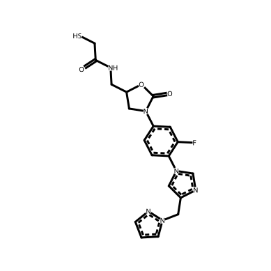 O=C(CS)NCC1CN(c2ccc(-n3cnc(Cn4cccn4)c3)c(F)c2)C(=O)O1